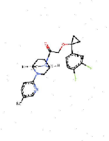 N#Cc1ccc(N2C[C@@H]3CC[C@H]2CN3C(=O)COC2(c3ccc(F)c(F)c3)CC2)nc1